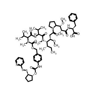 CC[C@H](C)[C@@H]([C@@H](CC(=O)N1CCCC1[C@H](OC)[C@@H](C)C(=O)N[C@@H](Cc1ccccc1)C(=O)O)OC)N(C)C(=O)C(NC(=O)C(C(C)C)N(C)C(=O)OCc1ccc(NC(=O)O[C@@H]2CCC[C@H]2SSc2ccccn2)cc1)C(C)C